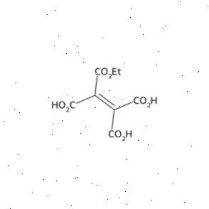 CCOC(=O)C(C(=O)O)=C(C(=O)O)C(=O)O